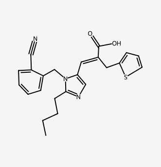 CCCCc1ncc(/C=C(\Cc2cccs2)C(=O)O)n1Cc1ccccc1C#N